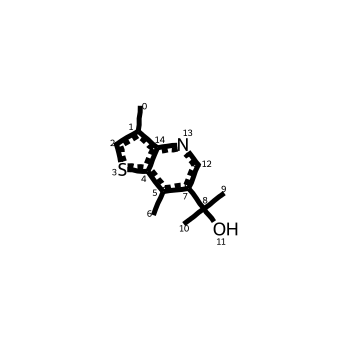 Cc1csc2c(C)c(C(C)(C)O)cnc12